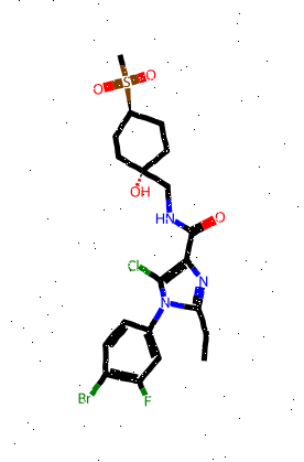 CCc1nc(C(=O)NC[C@]2(O)CC[C@H](S(C)(=O)=O)CC2)c(Cl)n1-c1ccc(Br)c(F)c1